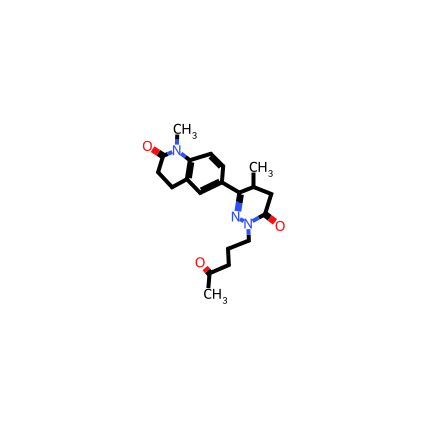 CC(=O)CCCN1N=C(c2ccc3c(c2)CCC(=O)N3C)C(C)CC1=O